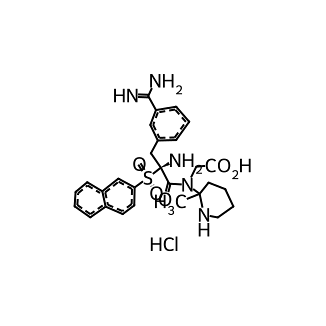 CC1(N(CC(=O)O)C(=O)[C@@](N)(Cc2cccc(C(=N)N)c2)S(=O)(=O)c2ccc3ccccc3c2)CCCCN1.Cl